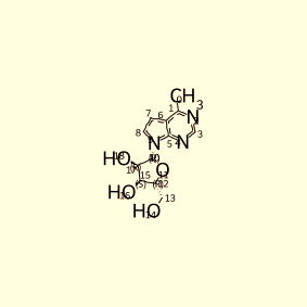 Cc1ncnc2c1ccn2[C@@H]1O[C@H](CO)[C@@H](O)[C@H]1O